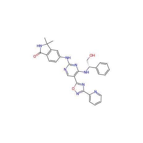 CC1(C)NC(=O)c2ccc(Nc3ncc(-c4nc(-c5ccccn5)no4)c(N[C@H](CO)c4ccccc4)n3)cc21